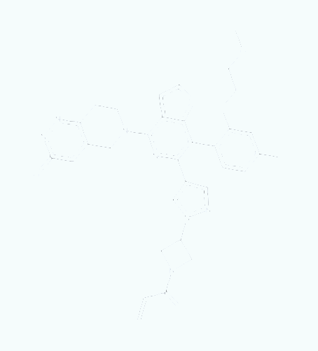 C=CC(=O)N1CC(n2cc(-c3nc(N4CCc5n[nH]c(=O)cc5C4)c4ccsc4c3-c3ccc(F)cc3OCCOC)cn2)C1